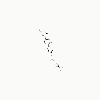 O=C1OC(CO)CN1c1ccc(-c2ccc(COC3COc4nc([N+](=O)[O-])cn4C3)cn2)c(F)c1